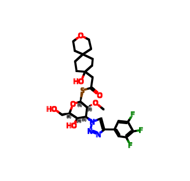 CO[C@@H]1[C@@H](n2cc(-c3cc(F)c(F)c(F)c3)nn2)[C@@H](O)[C@@H](CO)O[C@H]1SC(=O)CC1(O)CCC2(CCOCC2)CC1